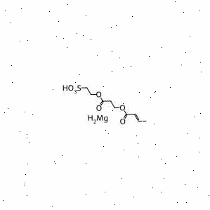 CC=CC(=O)OCCC(=O)OCCS(=O)(=O)O.[MgH2]